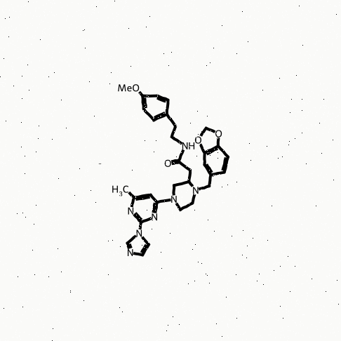 COc1ccc(CCNC(=O)CC2CN(c3cc(C)nc(-n4ccnc4)n3)CCN2Cc2ccc3c(c2)OCO3)cc1